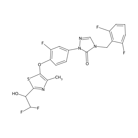 Cc1nc(C(O)C(F)F)sc1Oc1ccc(-n2ncn(Cc3c(F)cccc3F)c2=O)cc1F